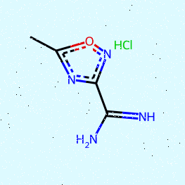 Cc1nc(C(=N)N)no1.Cl